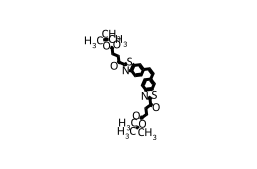 CC(C)(C)OC(=O)CCC(=O)c1nc2ccc(/C=C\c3ccc4nc(C(=O)CCC(=O)OC(C)(C)C)sc4c3)cc2s1